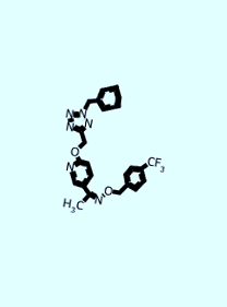 CC(=NOCc1ccc(C(F)(F)F)cc1)c1ccc(OCc2nnn(Cc3ccccc3)n2)nc1